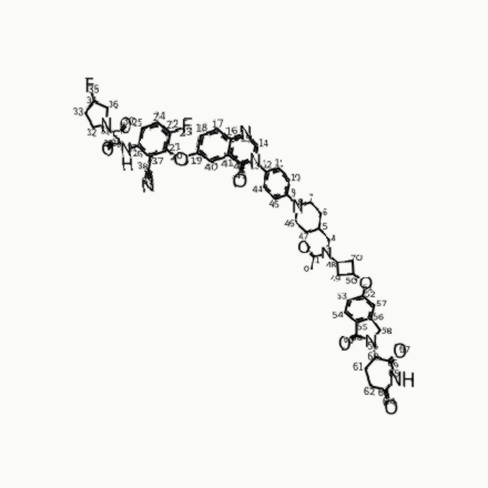 CC(=O)N(CC1CCN(c2ccc(-n3cnc4ccc(Oc5c(F)ccc(NS(=O)(=O)N6CC[C@@H](F)C6)c5C#N)cc4c3=O)cc2)CC1)C1CC(Oc2ccc3c(c2)CN([C@H]2CCC(=O)NC2=O)C3=O)C1